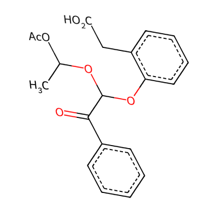 CC(=O)OC(C)OC(Oc1ccccc1CC(=O)O)C(=O)c1ccccc1